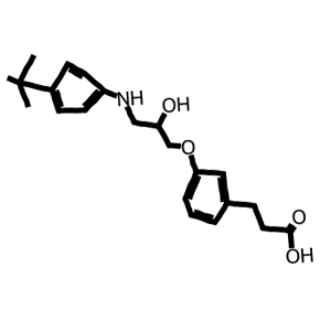 CC(C)(C)c1ccc(NCC(O)COc2cccc(CCC(=O)O)c2)cc1